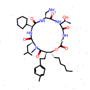 CCCCCC[C@H]1OC(=O)CNC(=O)[C@H]([C@H](C)O)NC(=O)[C@H](CN)NC(=O)[C@H](C2CCCCC2)NC(=O)[C@H](CC(C)C)N(C)C(=O)[C@@H]1CCc1ccc(C)cc1